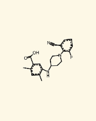 Cc1cc(C)c(C(=O)O)cc1NC1CCN(c2c(F)cccc2C#N)CC1